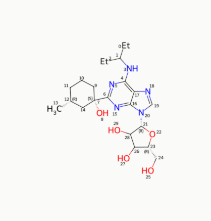 CCC(CC)Nc1nc([C@]2(O)CCC[C@@H](C)C2)nc2c1ncn2[C@@H]1O[C@H](CO)C(O)C1O